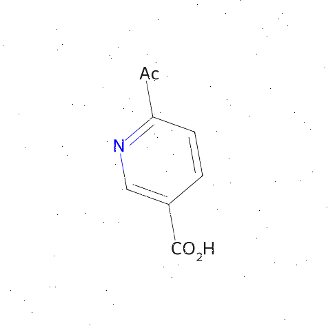 CC(=O)c1ccc(C(=O)O)cn1